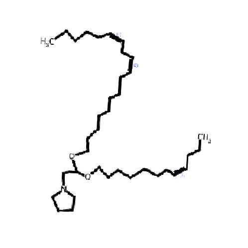 CCC/C=C\CCCCCCCOC(CN1CCCC1)OCCCCCCCC/C=C\C/C=C\CCCCC